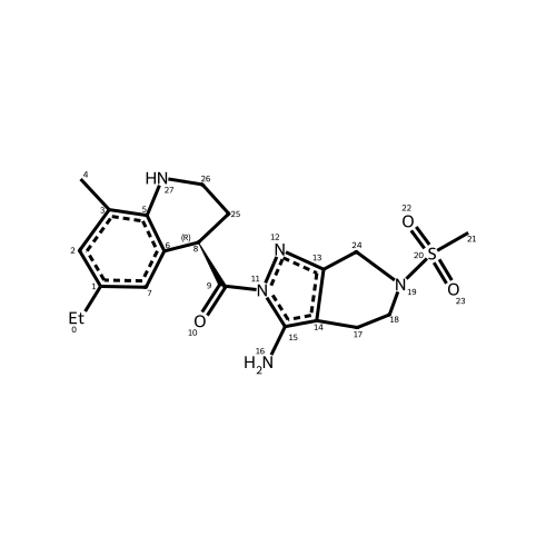 CCc1cc(C)c2c(c1)[C@H](C(=O)n1nc3c(c1N)CCN(S(C)(=O)=O)C3)CCN2